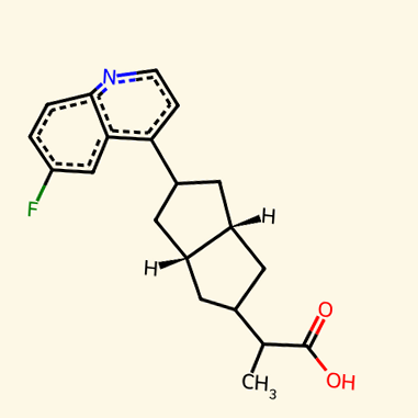 CC(C(=O)O)C1C[C@H]2CC(c3ccnc4ccc(F)cc34)C[C@H]2C1